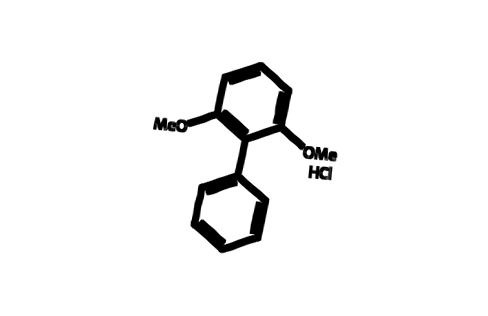 COc1cccc(OC)c1-c1ccccc1.Cl